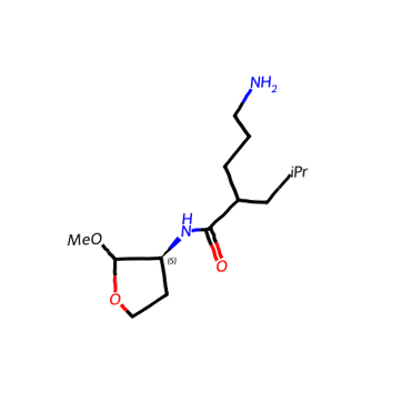 COC1OCC[C@@H]1NC(=O)C(CCCN)CC(C)C